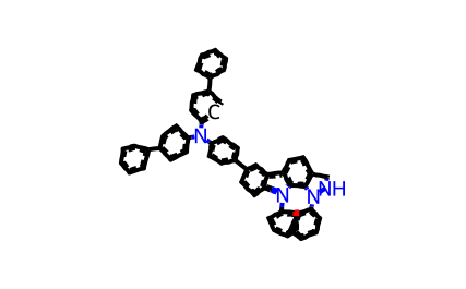 c1ccc(-c2ccc(N(c3ccc(-c4ccccc4)cc3)c3ccc(-c4ccc5c(c4)c4ccc6c(c4n5-c4ccccc4)N(c4ccccc4)NC6)cc3)cc2)cc1